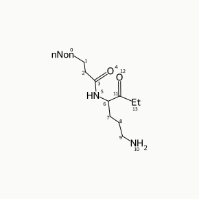 CCCCCCCCCCCC(=O)NC(CCCN)C(=O)CC